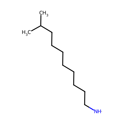 CC(C)CCCCCCCC[NH]